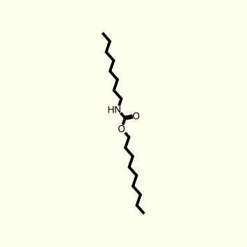 CCCCCCCCCOC(=O)NCCCCCCCC